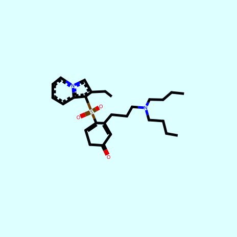 CCCCN(CCCC)CCCC1=CC(=O)CC=C1S(=O)(=O)c1c(CC)cn2ccccc12